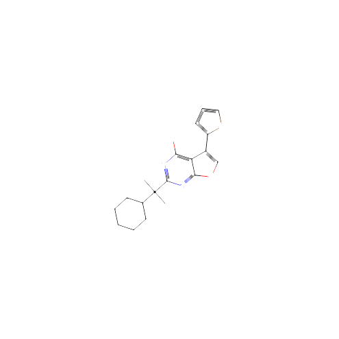 CC(C)(c1nc(O)c2c(C3=C=C=CS3)coc2n1)C1CCCCC1